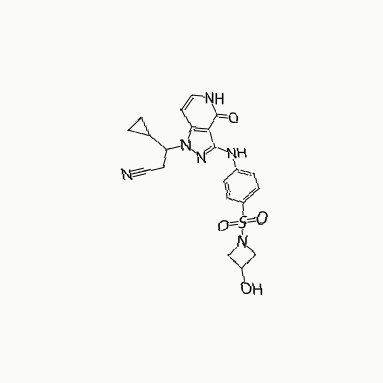 N#CCC(C1CC1)n1nc(Nc2ccc(S(=O)(=O)N3CC(O)C3)cc2)c2c(=O)[nH]ccc21